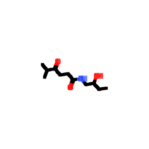 CCC(O)CNC(=O)CCC(=O)C(C)C